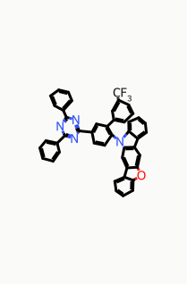 FC(F)(F)c1cccc(-c2cc(-c3nc(-c4ccccc4)nc(-c4ccccc4)n3)ccc2-n2c3ccccc3c3cc4oc5ccccc5c4cc32)c1